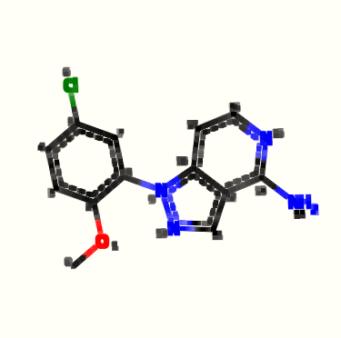 COc1ccc(Cl)cc1-n1ncc2c(N)nccc21